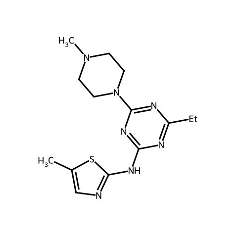 CCc1nc(Nc2ncc(C)s2)nc(N2CCN(C)CC2)n1